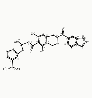 C[C@H](O)c1cccc(C[C@@H](C=O)NC(=O)c2c(Cl)cc3c(c2Cl)CCN(C(=O)c2ccc4cn[nH]c4c2)C3)c1